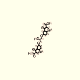 O=C(O)c1c[nH]c2ccc(OCC(O)COc3ccc4[nH]cc(C(=O)O)c(=O)c4c3)cc2c1=O